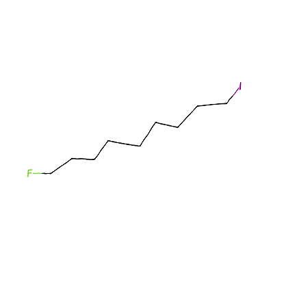 FCCCCCCCCCI